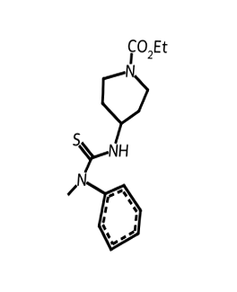 CCOC(=O)N1CCC(NC(=S)N(C)c2ccccc2)CC1